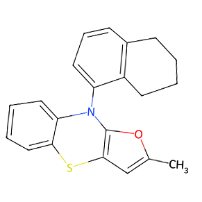 Cc1cc2c(o1)N(c1cccc3c1CCCC3)c1ccccc1S2